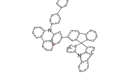 c1ccc(-c2ccc(N(c3cccc(-c4ccc5c(c4)C4(c6ccccc6-5)c5ccccc5-n5c6ccccc6c6cccc4c65)c3)c3ccccc3-c3ccccc3)cc2)cc1